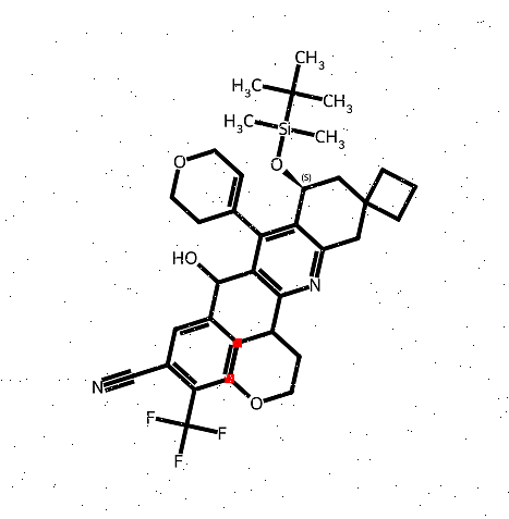 CC(C)(C)[Si](C)(C)O[C@H]1CC2(CCC2)Cc2nc(C3CCOCC3)c(C(O)c3ccc(C(F)(F)F)c(C#N)c3)c(C3=CCOCC3)c21